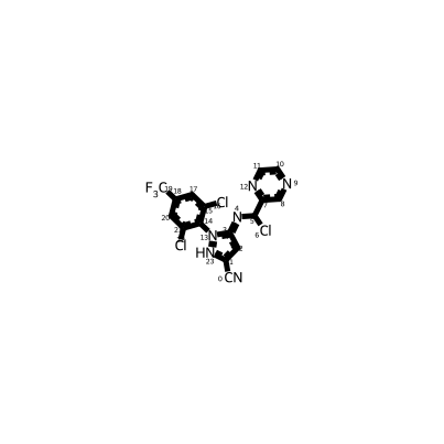 N#Cc1c/c(=N\C(Cl)c2cnccn2)n(-c2c(Cl)cc(C(F)(F)F)cc2Cl)[nH]1